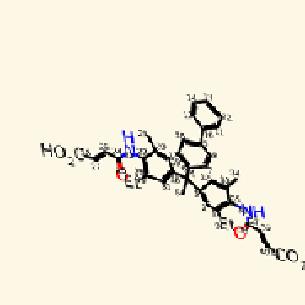 CCc1cc(C(C)(c2ccc(-c3ccccc3)cc2)c2cc(C)c(NC(=O)/C=C/C(=O)O)c(CC)c2)cc(C)c1NC(=O)/C=C/C(=O)O